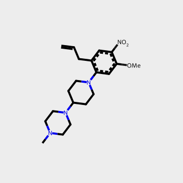 C=CCc1cc([N+](=O)[O-])c(OC)cc1N1CCC(N2CCN(C)CC2)CC1